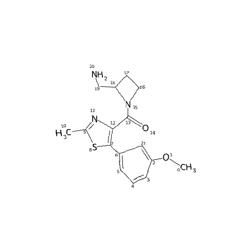 COc1cccc(-c2sc(C)nc2C(=O)N2CCC2CN)c1